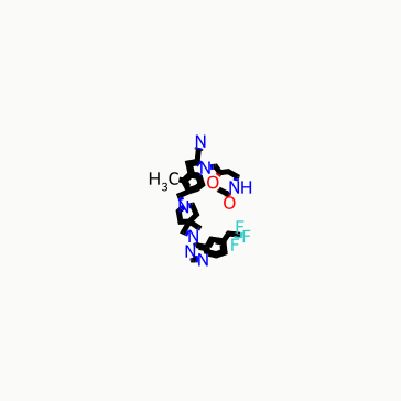 Cc1c(CN2CCC3(CC2)CN(c2ncnc4ccc(CC(F)(F)F)cc24)C3)ccc2c1cc(C#N)n2CC1CCNC(=O)CO1